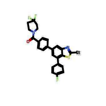 CCc1nc2cc(-c3ccc(C(=O)N4CCC(F)(F)CC4)cc3)cc(-c3ccc(F)cc3)c2s1